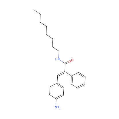 CCCCCCCCNC(=O)/C(=C/c1ccc(N)cc1)c1ccccc1